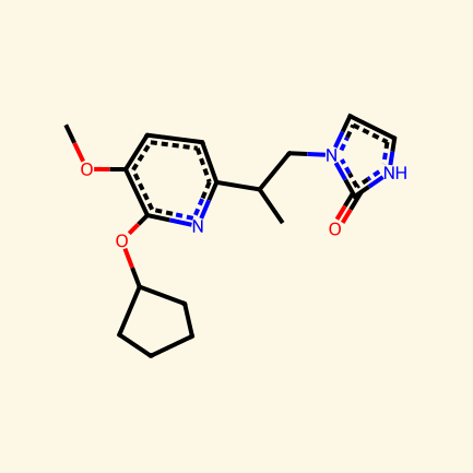 COc1ccc(C(C)Cn2cc[nH]c2=O)nc1OC1CCCC1